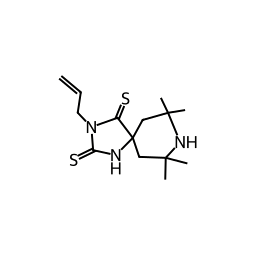 C=CCN1C(=S)NC2(CC(C)(C)NC(C)(C)C2)C1=S